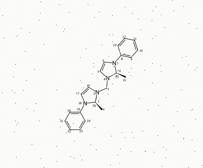 C[C@@H]1N(CN2C=CN(c3ccccc3)[C@H]2C)C=CN1c1ccccc1